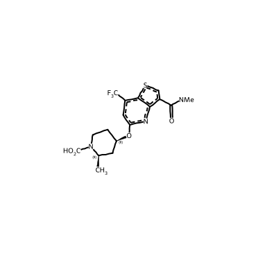 CNC(=O)c1csc2c(C(F)(F)F)cc(O[C@@H]3CCN(C(=O)O)[C@H](C)C3)nc12